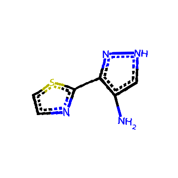 Nc1c[nH]nc1-c1nccs1